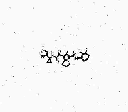 Cc1cccc(NC(=O)c2c(C)c(C(=O)C(=O)NC3(c4c[nH]nn4)CC3)c3n2CCC3)c1F